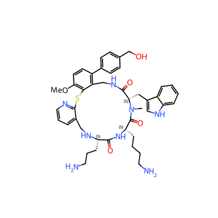 COc1ccc(-c2ccc(CO)cc2)c2c1Sc1ncccc1CN[C@@H](CCCN)C(=O)N[C@@H](CCCCN)C(=O)N(C)[C@@H](Cc1c[nH]c3ccccc13)C(=O)NC2